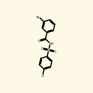 O=C(NS(=O)(=O)c1ccc(Cl)cc1)c1cccc(Br)c1